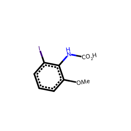 COc1cccc(I)c1NC(=O)O